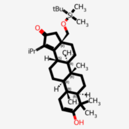 CC(C)C1=C2[C@H]3CC[C@@H]4[C@@]5(C)CC=C(O)C(C)(C)[C@@H]5CC[C@@]4(C)[C@]3(C)CC[C@@]2(CO[Si](C)(C)C(C)(C)C)CC1=O